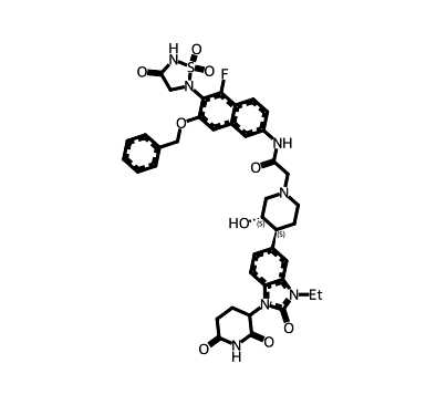 CCn1c(=O)n(C2CCC(=O)NC2=O)c2ccc([C@@H]3CCN(CC(=O)Nc4ccc5c(F)c(N6CC(=O)NS6(=O)=O)c(OCc6ccccc6)cc5c4)C[C@H]3O)cc21